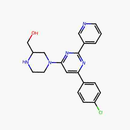 OCC1CN(c2cc(-c3ccc(Cl)cc3)nc(-c3cccnc3)n2)CCN1